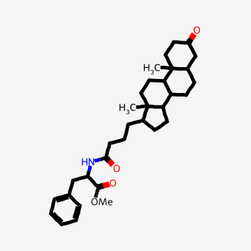 COC(=O)C(Cc1ccccc1)NC(=O)CCCC1CCC2C3CCC4CC(=O)CCC4(C)C3CCC12C